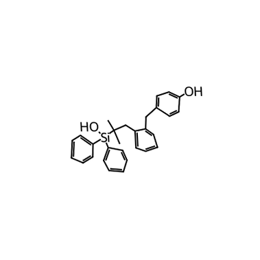 CC(C)(Cc1ccccc1Cc1ccc(O)cc1)[Si](O)(c1ccccc1)c1ccccc1